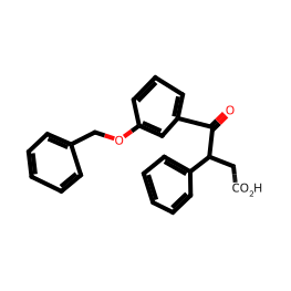 O=C(O)CC(C(=O)c1cccc(OCc2ccccc2)c1)c1ccccc1